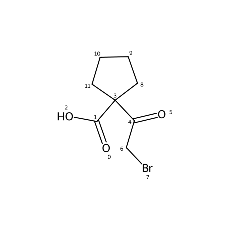 O=C(O)C1(C(=O)CBr)CCCC1